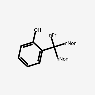 CCCCCCCCCC(CCC)(CCCCCCCCC)c1ccccc1O